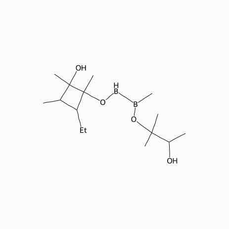 CCC1C(C)C(C)(O)C1(C)OBB(C)OC(C)(C)C(C)O